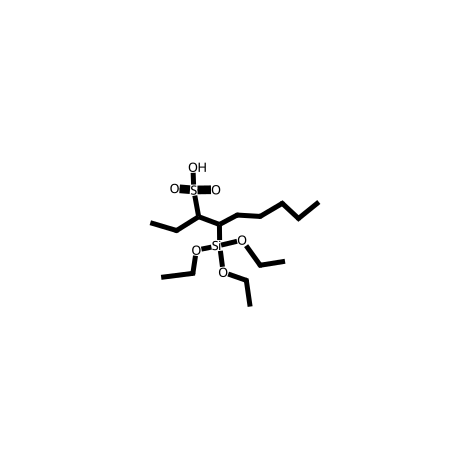 CCCCCC(C(CC)S(=O)(=O)O)[Si](OCC)(OCC)OCC